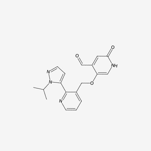 CC(C)n1nccc1-c1ncccc1COc1c[nH]c(=O)cc1C=O